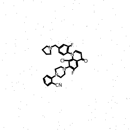 N#Cc1ccccc1N1CCN(c2c(F)cc3c(=O)ccn(-c4ccc(CN5CCCC5)cc4F)c3c2Cl)CC1